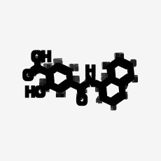 O=C(Nc1cccc2ccccc12)c1ccc(C(=O)O)c(O)c1